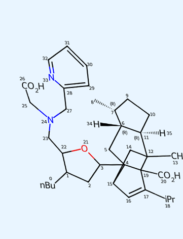 CCCCC1CC(C23C[C@@H]4[C@H](C)CC[C@H]4C4(C=O)CC2C=C(C(C)C)C34C(=O)O)OC1CN(CC(=O)O)Cc1ccccn1